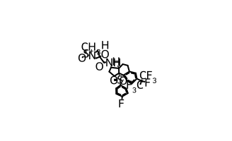 C[S+]([O-])N1CC(O)(C(=O)N[C@@H]2CC[C@@]3(S(=O)(=O)c4ccc(F)cc4)c4ccc(C(F)(C(F)(F)F)C(F)(F)F)cc4CC[C@@H]23)C1